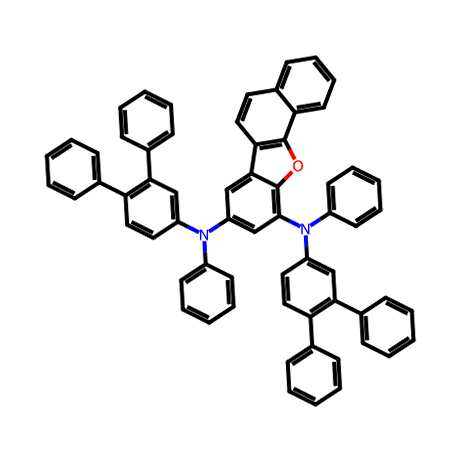 c1ccc(-c2ccc(N(c3ccccc3)c3cc(N(c4ccccc4)c4ccc(-c5ccccc5)c(-c5ccccc5)c4)c4oc5c6ccccc6ccc5c4c3)cc2-c2ccccc2)cc1